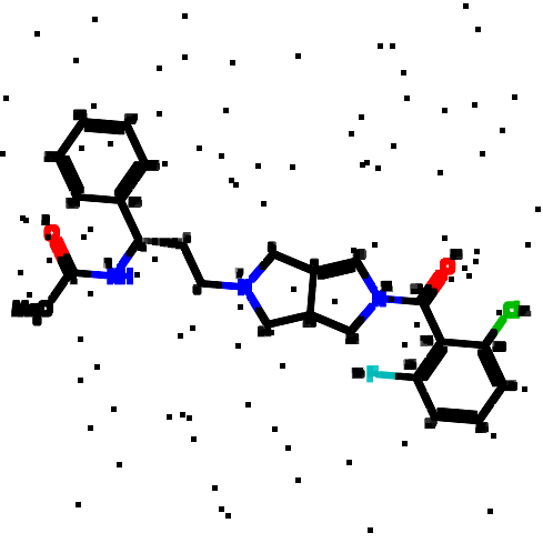 COC(=O)N[C@@H](CCN1CC2=CN(C(=O)c3c(F)cccc3Cl)CC2C1)c1ccccc1